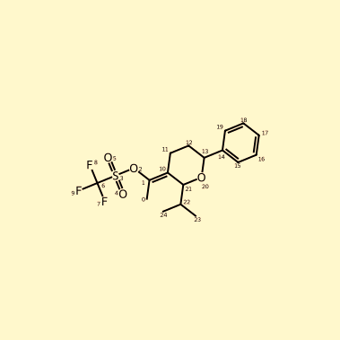 C/C(OS(=O)(=O)C(F)(F)F)=C1/CCC(c2ccccc2)OC1C(C)C